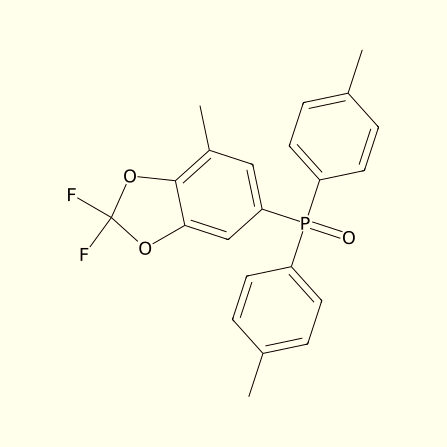 Cc1ccc(P(=O)(c2ccc(C)cc2)c2cc(C)c3c(c2)OC(F)(F)O3)cc1